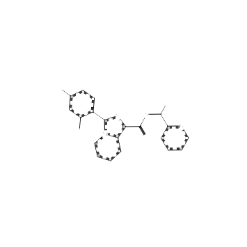 O=C(NC(c1ccccn1)C(F)(F)F)c1nc(-c2ccc(F)cc2F)n2ccccc12